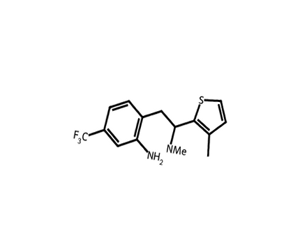 CNC(Cc1ccc(C(F)(F)F)cc1N)c1sccc1C